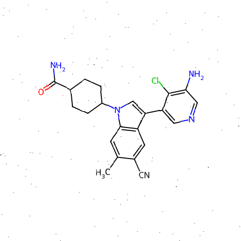 Cc1cc2c(cc1C#N)c(-c1cncc(N)c1Cl)cn2C1CCC(C(N)=O)CC1